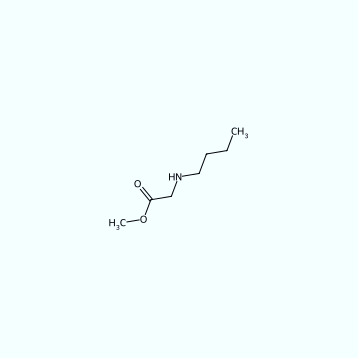 CCCCNCC(=O)OC